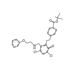 CC(C)(C)OC(=O)c1ccc(CCn2c(CNCCOc3ccccc3)c(Cl)cc(Cl)c2=O)cc1